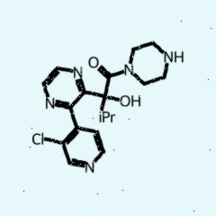 CC(C)C(O)(C(=O)N1CCNCC1)c1nccnc1-c1ccncc1Cl